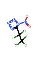 O=[N+]([O-])n1nnnc1C(Cl)(Cl)C(Cl)(Cl)Cl